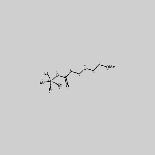 CCP(CC)(CC)(CC)OC(=O)CCOCCOC